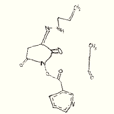 C=CCNN=C1CC(=O)N(OC(=O)c2cccnc2)C1=O.CCC=O